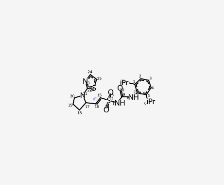 CC(C)c1cccc(C(C)C)c1NC(=O)NS(=O)(=O)/C=C/C1CCCN1c1nccs1